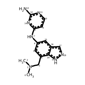 CN(C)Cc1cc(Nc2ccnc(N)n2)cc2cn[nH]c12